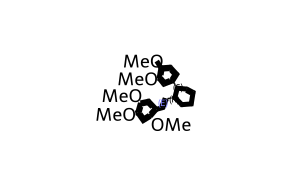 COc1cc(OC)c(OC)cc1/C=C/[C@H]1CCC=C[C@H]1c1ccc(OC)c(OC)c1